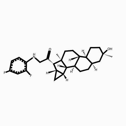 C[C@@]1(O)CC[C@H]2[C@H](CC[C@@H]3[C@@H]2CC[C@@]2(C)[C@H]3[C@@H]3C[C@@H]3[C@@H]2C(=O)CNc2ccc(F)cc2F)C1